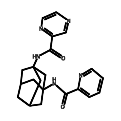 O=C(NC12CC3CC(C1)CC(NC(=O)c1cnccn1)(C3)C2)c1ccccn1